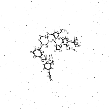 Cc1nc(CN2CCC(c3cccc4c3O[C@@](C)(c3ccc(C#N)cc3F)O4)CC2)n(C[C@@H]2CCO2)c1-c1nc(C(=O)O)c(C)o1